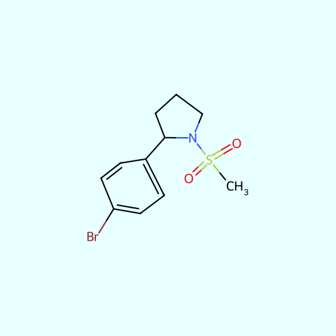 CS(=O)(=O)N1CCCC1c1ccc(Br)cc1